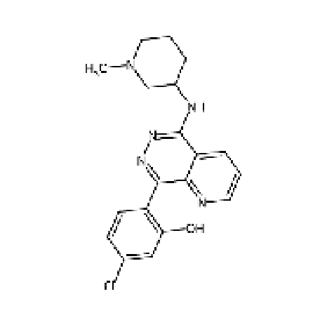 CN1CCCC(Nc2nnc(-c3ccc(Cl)cc3O)c3ncccc23)C1